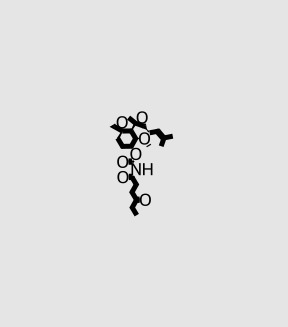 CCC(=O)CCC(=O)NC(=O)O[C@@H]1CC[C@]2(CO2)[C@@H](C2(C)O[C@@H]2CC=C(C)C)[C@@H]1OC